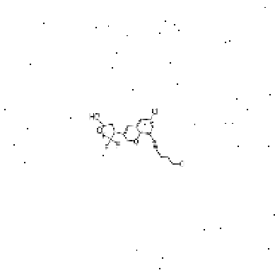 O=C(O)CC(C1=Cc2cc(Cl)cc(C#CCCCCl)c2OC1)C(F)(F)F